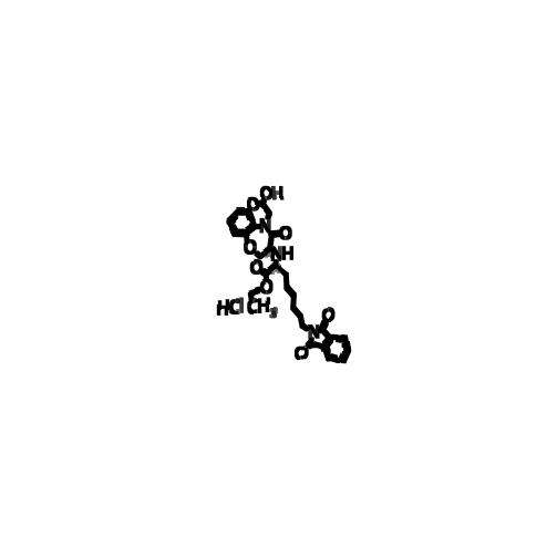 CCOC(=O)[C@H](CCCCCCN1C(=O)c2ccccc2C1=O)N[C@H]1COc2ccccc2N(CC(=O)O)C1=O.Cl